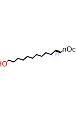 CCCCCCCC/C=C/CCCCCCCCCCO